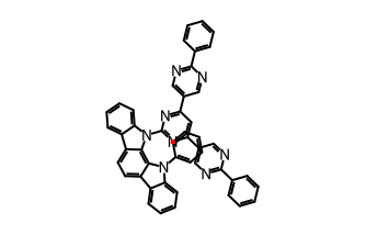 c1ccc(-c2ncc(-c3cc(-c4cnc(-c5ccccc5)nc4)nc(-n4c5ccccc5c5ccc6c7ccccc7n(-c7ccccc7)c6c54)n3)cn2)cc1